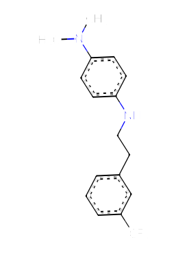 CN(C)c1ccc(NCCc2cccc(C(F)(F)F)c2)cc1